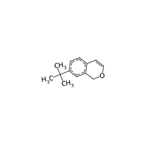 CC(C)(C)c1ccc2c(c1)COC=C2